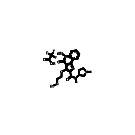 CCCCn1c(=O)c2c(OCCOCC)c(C(=O)N(C)C3CCN(C)C3)sc2c2ccccc21.O=C(O)C(F)(F)F